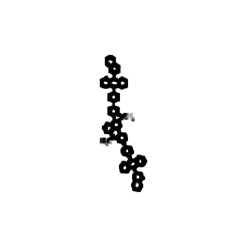 CN1c2cc(-c3ccc(-c4c5ccccc5c(-c5ccc6ccccc6c5)c5ccccc45)cc3)ccc2-c2cc3c(c4cccc1c24)c1ccc(-c2ccc(-c4c5ccccc5c(-c5ccc6ccccc6c5)c5ccccc45)cc2)cc1n3C